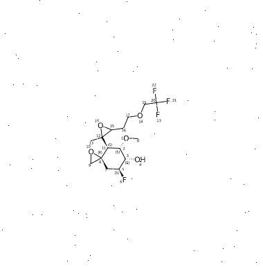 CO[C@@H]1[C@H](O)[C@@H](F)C[C@]2(CO2)[C@H]1C1(C)OC1CCOCC(F)(F)F